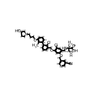 Cc1c(OCCCN2CC[C@@H](O)C2)cccc1-c1cccc(COc2cc(OCc3cncc(C#N)c3)c(CN[C@](C)(CO)C(=O)O)cc2Cl)c1Cl